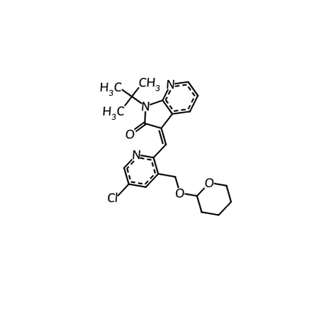 CC(C)(C)N1C(=O)/C(=C\c2ncc(Cl)cc2COC2CCCCO2)c2cccnc21